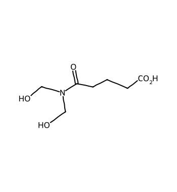 O=C(O)CCCC(=O)N(CO)CO